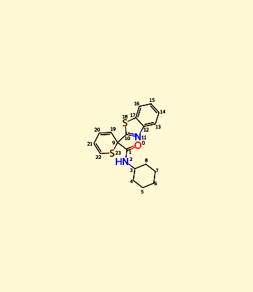 O=C(NC1CCCCC1)C1(c2nc3ccccc3s2)C=CC=CS1